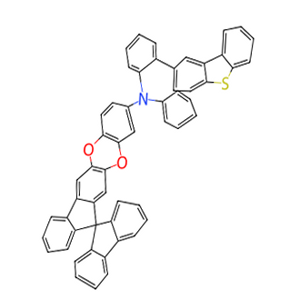 c1ccc(N(c2ccc3c(c2)Oc2cc4c(cc2O3)-c2ccccc2C42c3ccccc3-c3ccccc32)c2ccccc2-c2ccc3sc4ccccc4c3c2)cc1